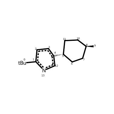 CC(C)(C)c1ccc([C@H]2CC[C@H](C)CC2)cn1